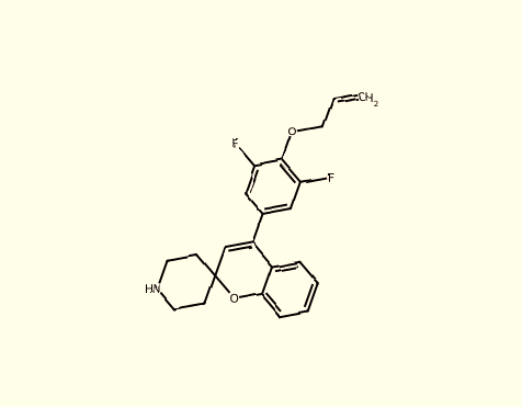 C=CCOc1c(F)cc(C2=CC3(CCNCC3)Oc3ccccc32)cc1F